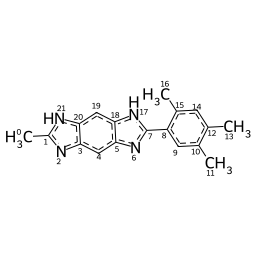 Cc1nc2cc3nc(-c4cc(C)c(C)cc4C)[nH]c3cc2[nH]1